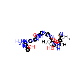 Cc1ncsc1-c1ccc([C@H](C)NC(=O)[C@@H]2C[C@@H](O)CN2C(=O)C(c2cc(N3CCC(CN4CCC(CNC(=O)c5cc(N6CCC(n7nc(N)c8nnc(-c9ccccc9O)cc87)CC6)ccn5)CC4)CC3)no2)C(C)C)cc1